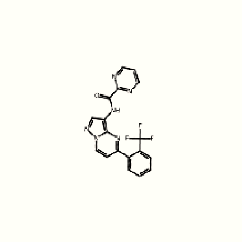 O=C(Nc1cnn2ccc(-c3ccccc3C(F)(F)F)nc12)c1ncccn1